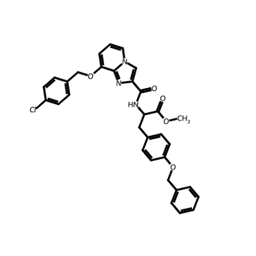 COC(=O)C(Cc1ccc(OCc2ccccc2)cc1)NC(=O)c1cn2cccc(OCc3ccc(Cl)cc3)c2n1